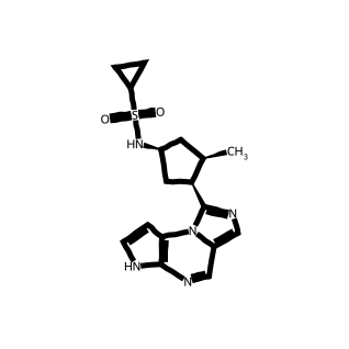 C[C@@H]1C[C@H](NS(=O)(=O)C2CC2)C[C@@H]1c1ncc2cnc3[nH]ccc3n12